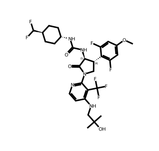 COc1cc(F)c([C@@H]2CN(c3nccc(NCC(C)(C)O)c3C(F)(F)F)C(=O)[C@H]2NC(=O)N[C@H]2CC[C@H](C(F)F)CC2)c(F)c1